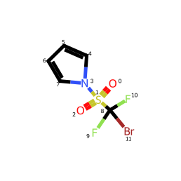 O=S(=O)(n1cccc1)C(F)(F)Br